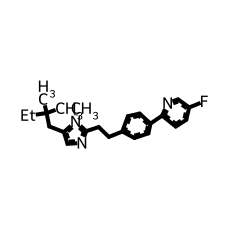 CCC(C)(C)Cc1cnc(CCc2ccc(-c3ccc(F)cn3)cc2)n1C